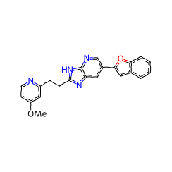 COc1ccnc(CCc2nc3cc(-c4cc5ccccc5o4)cnc3[nH]2)c1